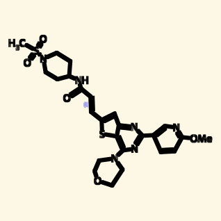 COc1ccc(-c2nc(N3CCOCC3)c3sc(/C=C/C(=O)NC4CCN(S(C)(=O)=O)CC4)cc3n2)cn1